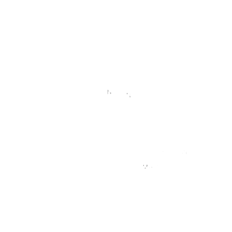 COC(=O)c1ccc(N(C)/N=C/c2ccccc2)cc1